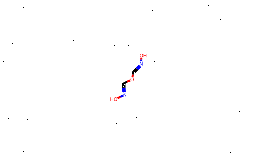 ON=COC=NO